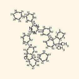 CC1(C)c2ccccc2-c2c(-c3cccc(-c4nc(-c5cccc(-c6ccccc6)c5)nc(-c5cccc(-c6ccc7c(c6)oc6cccc(-c8ccccc8)c67)c5)n4)c3)cccc21